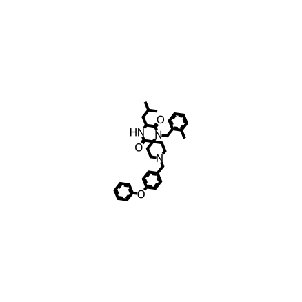 Cc1ccccc1CN1C(=O)C(CC(C)C)NC(=O)C12CCN(Cc1ccc(Oc3ccccc3)cc1)CC2